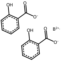 O=C([O-])c1ccccc1O.O=C([O-])c1ccccc1O.[B+2]